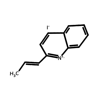 CC=CC1=[N+]c2ccccc2C=C1.[I-]